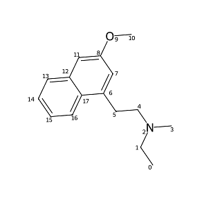 CCN(C)CCc1cc(OC)cc2ccccc12